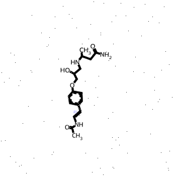 CC(=O)N/C=C/c1ccc(OCC(O)CNC(C)CC(N)=O)cc1